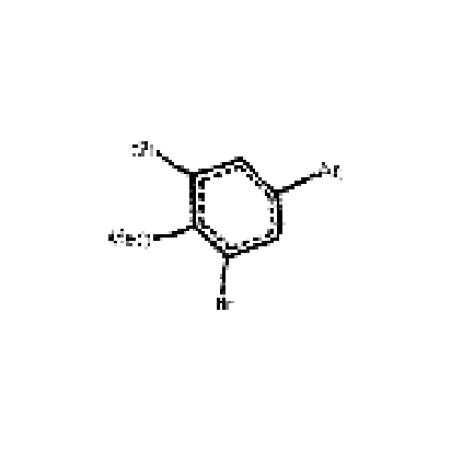 CCCc1cc(C(C)=O)cc(Br)c1OC